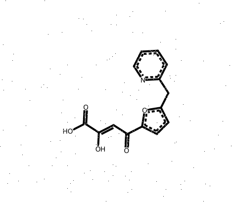 O=C(O)/C(O)=C/C(=O)c1ccc(Cc2ccccn2)o1